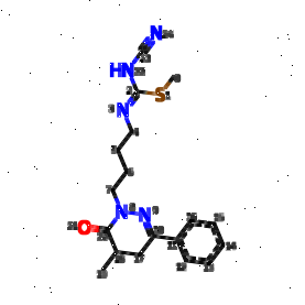 CSC(=NCCCCN1N=C(c2ccccc2)CC(C)C1=O)NC#N